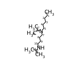 CCCCCCN(CCCCNC(C)C)C(C)C